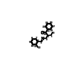 CCC(CN=Cc1ccccc1C)C(=O)c1ccccc1